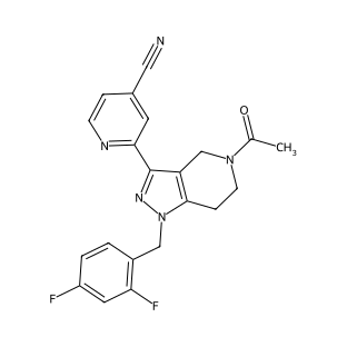 CC(=O)N1CCc2c(c(-c3cc(C#N)ccn3)nn2Cc2ccc(F)cc2F)C1